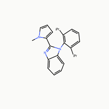 CC(C)c1cccc(C(C)C)c1-n1c(-c2cccn2C)nc2ccccc21